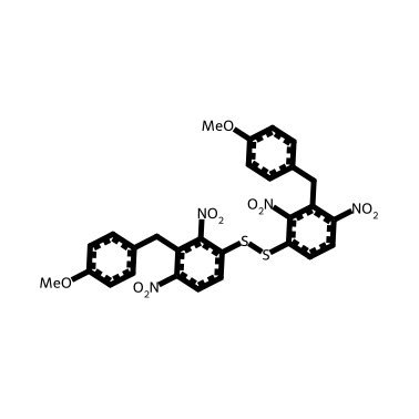 COc1ccc(Cc2c([N+](=O)[O-])ccc(SSc3ccc([N+](=O)[O-])c(Cc4ccc(OC)cc4)c3[N+](=O)[O-])c2[N+](=O)[O-])cc1